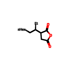 CCCCCCCC(CC)C1CC(=O)OC1=O